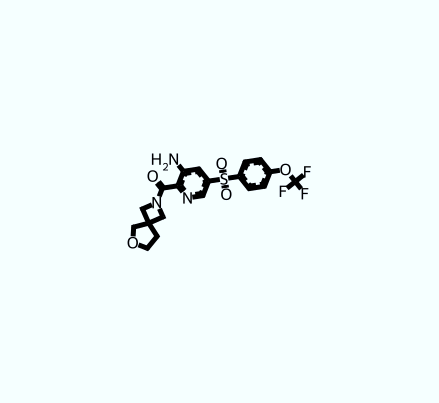 Nc1cc(S(=O)(=O)c2ccc(OC(F)(F)F)cc2)cnc1C(=O)N1CC2(CCOC2)C1